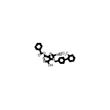 CCCCc1nc2c(OC(=O)c3ccccc3)nnc(O)c2n1Cc1ccc(-c2ccccc2C(=O)O)cc1